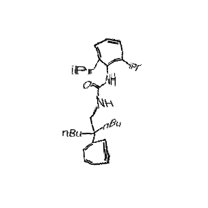 CCCCC(CCCC)(CNC(=O)Nc1c(C(C)C)cccc1C(C)C)c1ccccc1